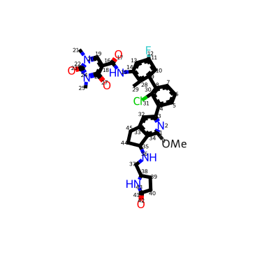 COc1nc(-c2cccc(-c3cc(F)cc(NC(=O)c4cn(C)c(=O)n(C)c4=O)c3C)c2Cl)cc2c1C(NCC1CCC(=O)N1)CC2